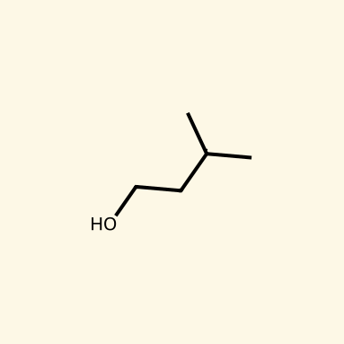 C[C](C)CCO